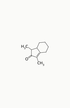 CC1=C2CCCCC2C(C)C1=O